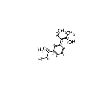 C=C/C(=C(\C)O)c1cccc(C(C)CF)c1